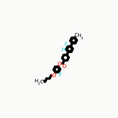 C=CCCCOc1ccc(OC(=O)C2CCC(c3ccc(-c4ccc(C)cc4)c(F)c3F)CC2)cc1F